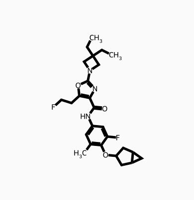 CCC1(CC)CN(c2nc(C(=O)Nc3cc(C)c(OC4CC5CC5C4)c(F)c3)c(CCF)o2)C1